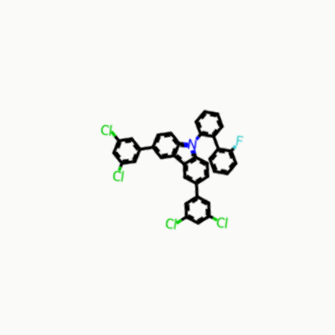 Fc1ccccc1-c1ccccc1-n1c2ccc(-c3cc(Cl)cc(Cl)c3)cc2c2cc(-c3cc(Cl)cc(Cl)c3)ccc21